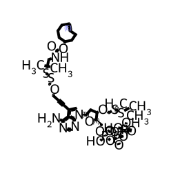 CC(C)(C)SSCOC1C[C@H](n2cc(C#CCOCSSC(C)(C)CNC(=O)OC3CC/C=C/CCC3)c3c(N)ncnc32)O[C@@H]1COP(=O)(O)OP(=O)(O)OP(=O)(O)O